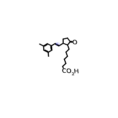 Cc1cc(C)cc(/C=C/C2CCC(=O)C2CCCCCCC(=O)O)c1